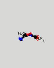 Cc1cc(OCc2coc(C=Cc3ccc(S(=O)(=O)C(F)(F)F)cc3)n2)ccc1CCCCn1ccnn1